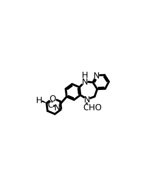 O=CN1Cc2cccnc2Nc2ccc(N3C[C@@H]4CCC3CO4)cc21